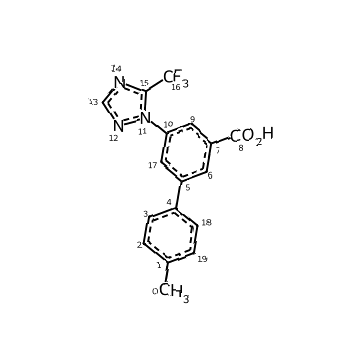 Cc1ccc(-c2cc(C(=O)O)cc(-n3ncnc3C(F)(F)F)c2)cc1